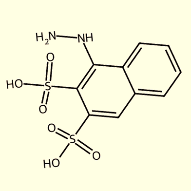 NNc1c(S(=O)(=O)O)c(S(=O)(=O)O)cc2ccccc12